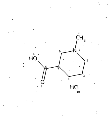 CN1CCCC(C(=O)O)C1.Cl